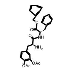 CC(=O)Oc1ccc(C[C@H](N)C(=O)N[C@@H](Cc2ccccc2)C(=O)OCc2ccccc2)cc1OC(C)=O